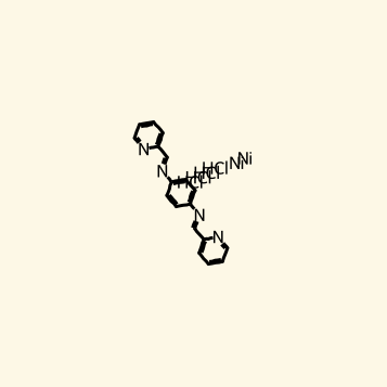 C(=Nc1ccc(N=Cc2ccccn2)cc1)c1ccccn1.Cl.Cl.Cl.Cl.[Ni].[Ni]